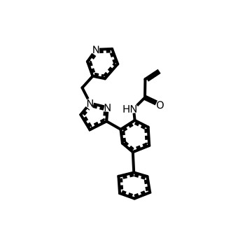 C=CC(=O)Nc1ccc(-c2ccccc2)cc1-c1ccn(Cc2cccnc2)n1